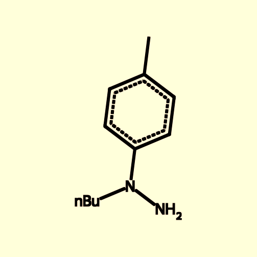 CCCCN(N)c1ccc(C)cc1